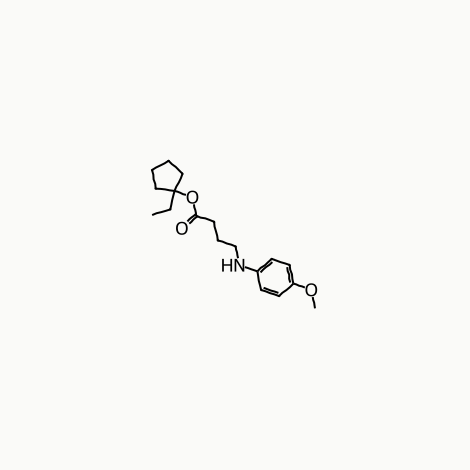 CCC1(OC(=O)CCCNc2ccc(OC)cc2)CCCC1